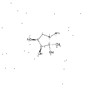 CCCN1C[C@H](O)[C@H](O)[C@]1(C)O